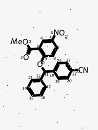 COC(=O)c1cc([N+](=O)[O-])ccc1OC(c1ccccc1)c1ccc(C#N)cc1